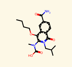 CCCCOc1c(N(C)C(=O)O)n(CC(C)C)c(=O)c2ccc(C(N)=O)cc12